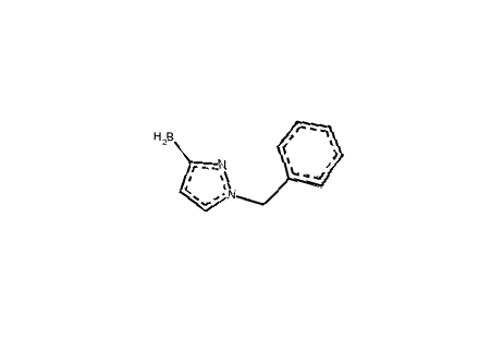 Bc1ccn(Cc2ccccc2)n1